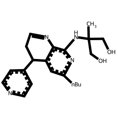 CCCCc1cc2c(c(NC(C)(CO)CO)n1)N=CCC2c1ccncc1